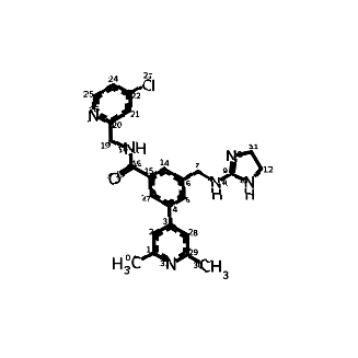 Cc1cc(-c2cc(CNC3=NCCN3)cc(C(=O)NCc3cc(Cl)ccn3)c2)cc(C)n1